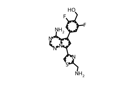 NCc1nc(-c2cc(-c3cc(F)c(CO)c(F)c3)c3c(N)ncnn23)cs1